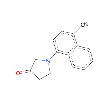 N#Cc1ccc(N2CCC(=O)C2)c2ccccc12